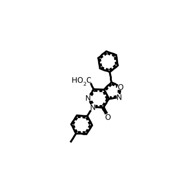 Cc1ccc(-n2nc(C(=O)O)c3c(-c4ccccc4)onc3c2=O)cc1